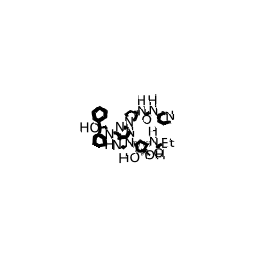 CCC(=O)N[C@H]1C[C@@H](n2cnc3c(NCC(O)(c4ccccc4)c4ccccc4)nc(N4CC[C@@H](NC(=O)Nc5cccnc5)C4)nc32)[C@H](O)[C@@H]1O